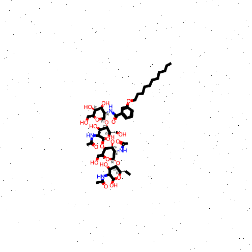 CCCCCCCCCCCOc1cccc(C(=O)N[C@H]2C(O)[C@H](O)C(CO)O[C@H]2O[C@H]2C(O)C(NC(C)=O)C(OC3C(CO)O[C@@H](O[C@H]4C(O)C(NC(C)=O)C(O)O[C@H]4CC)[C@@H](NC(C)=O)[C@@H]3O)O[C@H]2CO)c1